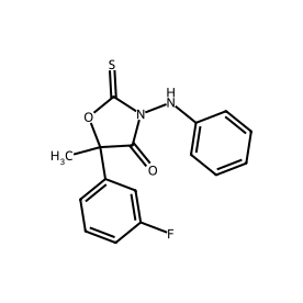 CC1(c2cccc(F)c2)OC(=S)N(Nc2ccccc2)C1=O